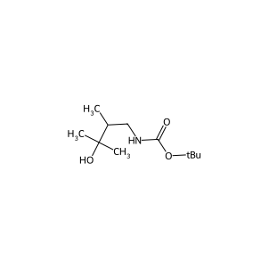 CC(CNC(=O)OC(C)(C)C)C(C)(C)O